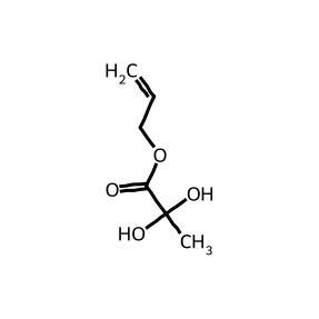 C=CCOC(=O)C(C)(O)O